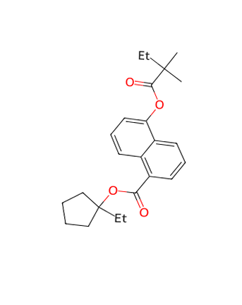 CCC1(OC(=O)c2cccc3c(OC(=O)C(C)(C)CC)cccc23)CCCC1